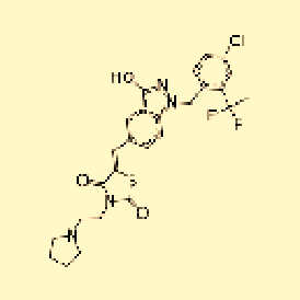 O=C1S/C(=C\c2ccc3c(c2)c(O)nn3Cc2ccc(Cl)cc2C(F)(F)F)C(=O)N1CCN1CCCC1